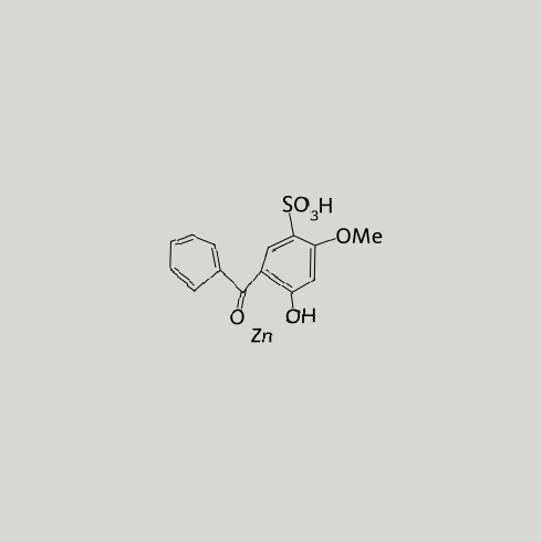 COc1cc(O)c(C(=O)c2ccccc2)cc1S(=O)(=O)O.[Zn]